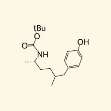 CC(CC[C@H](C)NC(=O)OC(C)(C)C)Cc1ccc(O)cc1